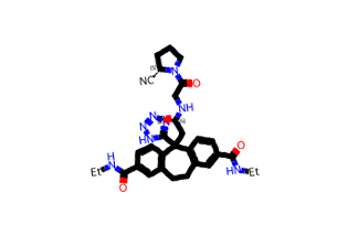 CCNC(=O)c1ccc2c(c1)CCc1cc(C(=O)NCC)ccc1C2(C[C@H](NCC(=O)N1CCC[C@H]1C#N)C(C)C)c1nnn[nH]1